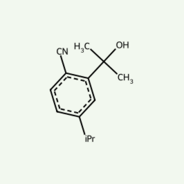 CC(C)c1ccc(C#N)c(C(C)(C)O)c1